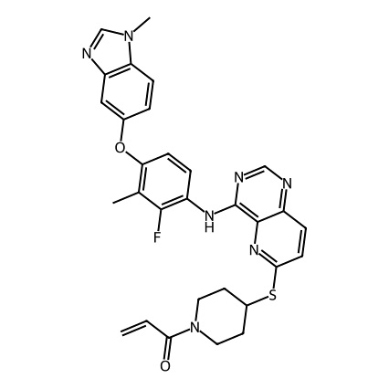 C=CC(=O)N1CCC(Sc2ccc3ncnc(Nc4ccc(Oc5ccc6c(c5)ncn6C)c(C)c4F)c3n2)CC1